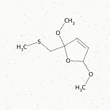 COC1C=CC(CSC)(OC)O1